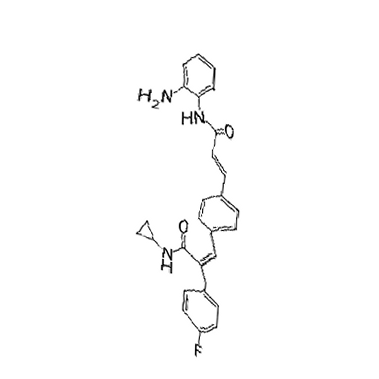 Nc1ccccc1NC(=O)C=Cc1ccc(C=C(C(=O)NC2CC2)c2ccc(F)cc2)cc1